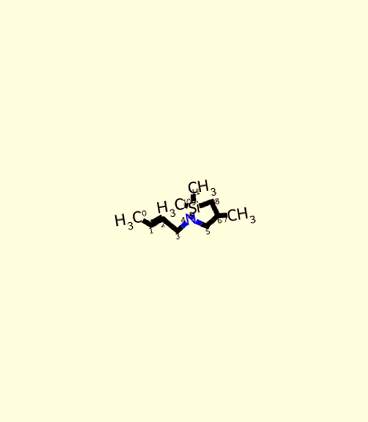 CC=CCN1CC(C)C[Si]1(C)C